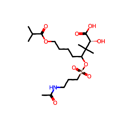 CC(=O)NCCCS(=O)(=O)OC(CCCCOC(=O)C(C)C)C(C)(C)[C@@H](O)C(=O)O